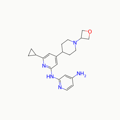 Nc1ccnc(Nc2cc(C3CCN(C4COC4)CC3)cc(C3CC3)n2)c1